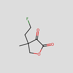 CC1(CCF)COC(=O)C1=O